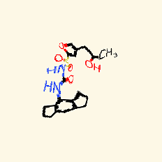 CC(O)Cc1coc(S(=O)(=O)NC(=O)Nc2c3c(cc4c2CCC4)CCC3)c1